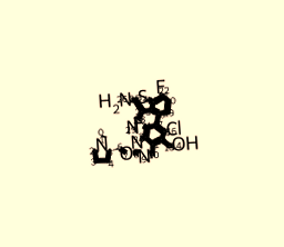 CN1CCC[C@H]1COc1ncc2c(CO)c(Cl)c(-c3ccc(F)c4sc(N)c(C#N)c34)c(F)c2n1